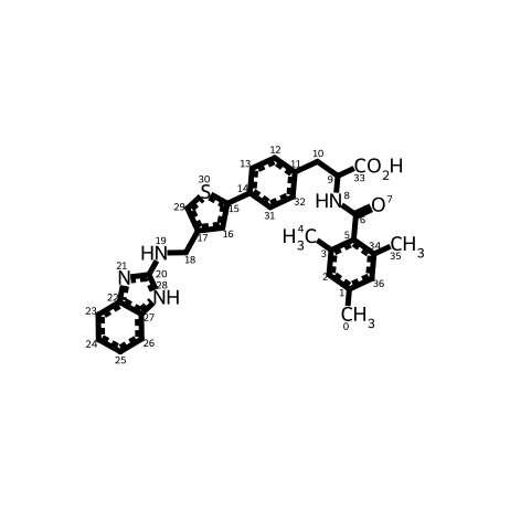 Cc1cc(C)c(C(=O)NC(Cc2ccc(-c3cc(CNc4nc5ccccc5[nH]4)cs3)cc2)C(=O)O)c(C)c1